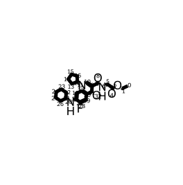 CCOC(=O)CNC(=O)c1cn(C2CCCC2)c2cc(NC3CCCCC3)c(F)cc2c1=O